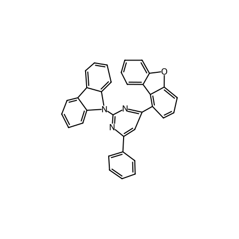 c1ccc(-c2cc(-c3cccc4oc5ccccc5c34)nc(-n3c4ccccc4c4ccccc43)n2)cc1